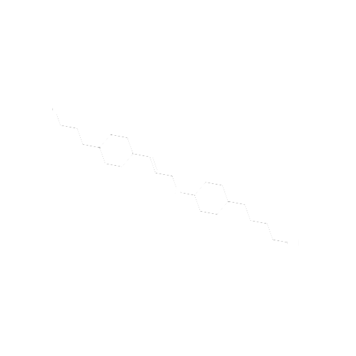 CCCCCC1CCC(OCC=CC2CCC(CCCC)CC2)CC1